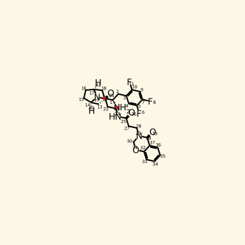 N[C@H](Cc1cc(F)c(F)cc1F)[C@@H]1C[C@H]2CC[C@@H](C1)N2C(=O)CCNC(=O)CCN1COc2ccccc2C1=O